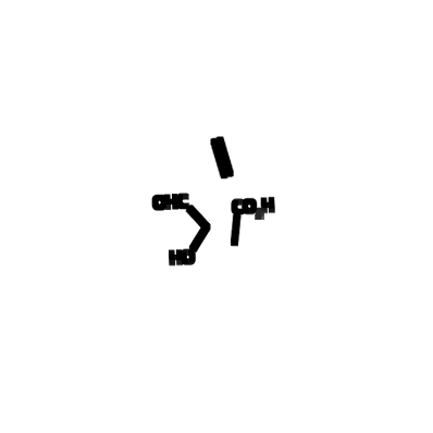 C=C.CC(=O)O.O=CCO